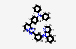 c1ccc(N(c2ccccc2)c2ccc(-c3cccn4nc(-c5cccc(-n6c7ccccc7c7cccnc76)c5)nc34)cc2)cc1